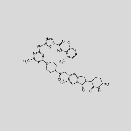 Cc1nc(Nc2ncc(C(=O)Nc3c(C)cccc3Cl)s2)cc(N2CCC(N(C)Cc3cc4c(cc3Br)C(=O)N(C3CCC(=O)NC3=O)C4)CC2)n1